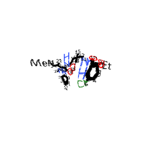 CCOc1ccc(Cl)cc1C(=O)NCC(C)(C)CC(=O)Nc1c(C(C)CNC)n(C)n(-c2ccccc2)c1=O